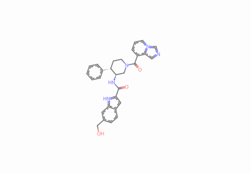 O=C(N[C@@H]1CN(C(=O)c2cccn3cncc23)CC[C@H]1c1ccccc1)c1cc2ccc(CO)cc2[nH]1